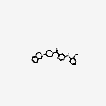 COc1ccccc1Nc1cc(C(=O)N2CCC(N3CCc4ccccc4C3)CC2)ncn1